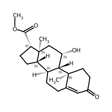 COC(=O)[C@H]1CC[C@H]2[C@@H]3CCC4=CC(=O)CC[C@]4(C)[C@H]3[C@@H](O)C[C@]12C